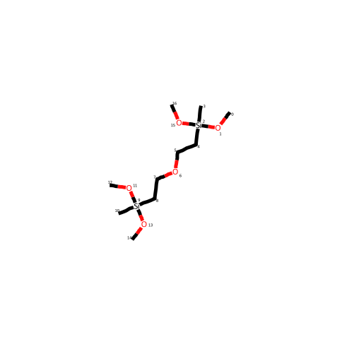 CO[Si](C)(CCOCC[Si](C)(OC)OC)OC